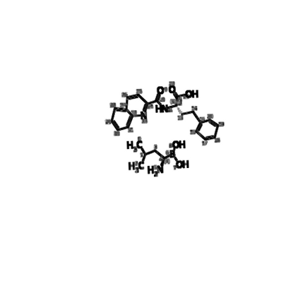 CC(C)C[C@H](N)B(O)O.O=C(N[C@@H](CCc1ccccc1)C(=O)O)c1ccc2ccccc2n1